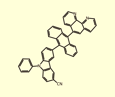 N#Cc1ccc2c(c1)c1cc(-c3c4ccccc4c(-c4cc5cccnc5c5ncccc45)c4ccccc34)ccc1n2-c1ccccc1